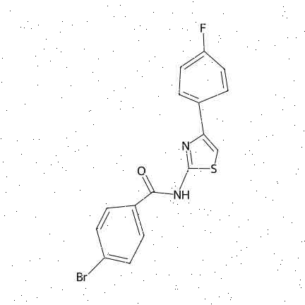 O=C(Nc1nc(-c2ccc(F)cc2)cs1)c1ccc(Br)cc1